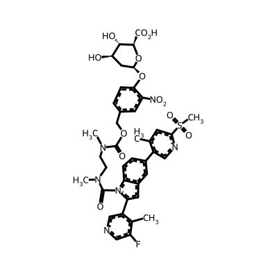 Cc1cc(S(C)(=O)=O)ncc1-c1ccc2c(c1)cc(-c1cncc(F)c1C)n2C(=O)N(C)CCN(C)C(=O)OCc1ccc(O[C@H]2C[C@@H](O)[C@H](O)[C@@H](C(=O)O)O2)c([N+](=O)[O-])c1